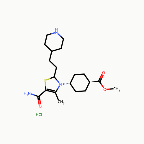 COC(=O)[C@H]1CC[C@H](N2C(C)=C(C(N)=O)SC2CCC2CCNCC2)CC1.Cl